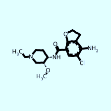 CCN1CC[C@H](NC(=O)c2cc(Cl)c(N)c3c2OCC3)[C@H](OC)C1